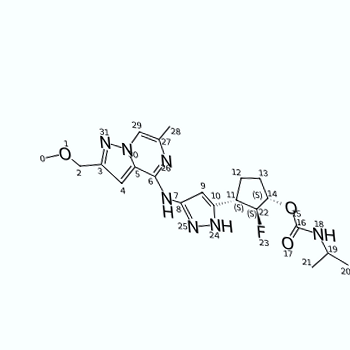 COCc1cc2c(Nc3cc([C@@H]4CC[C@H](OC(=O)NC(C)C)[C@H]4F)[nH]n3)nc(C)cn2n1